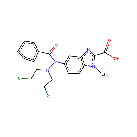 Cn1c(C(=O)O)nc2cc(N(C(=O)c3ccccc3)N(CCCl)CCCl)ccc21